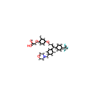 Cc1cc(OC/C=C(\c2ccc(CN3CCOCC3)cc2)c2ccc(C(F)(F)F)cc2)ccc1OCC(=O)O